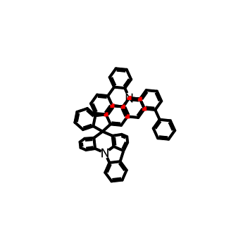 c1ccc(-c2cccc(N(c3ccc4c(c3)-c3ccccc3C43c4ccccc4-n4c5ccccc5c5cccc3c54)c3ccccc3-c3ccccc3-c3ccccc3)c2)cc1